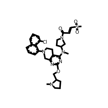 CN1CCCC1COc1nc2c(c(N(C)C3CCN(C(=O)/C=C/S(C)(=O)=O)C3)n1)CCN(c1cccc3cccc(Cl)c13)C2